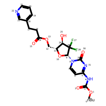 CCCCOC(=O)Nc1ccn([C@@H]2O[C@H](COC(=O)CCc3cccnc3)[C@@H](O)C2(F)F)c(=O)n1